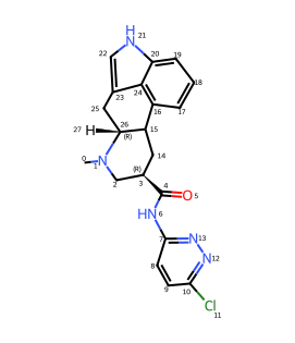 CN1C[C@H](C(=O)Nc2ccc(Cl)nn2)CC2c3cccc4[nH]cc(c34)C[C@H]21